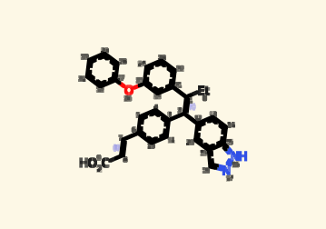 CC/C(=C(/c1ccc(/C=C/C(=O)O)cc1)c1ccc2[nH]ncc2c1)c1cccc(Oc2ccccc2)c1